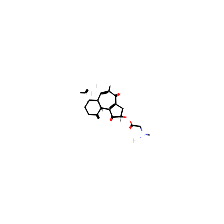 C=C1CC[C@H](C(=C)C)[C@H]2C=C(C)C(=O)C3=C(C(=O)[C@@](C)(OC(=O)CN(CC)CC)C3)[C@H]12